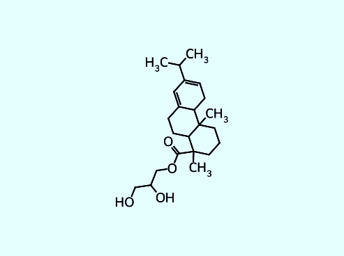 CC(C)C1=CCC2C(=C1)CCC1C(C)(C(=O)OCC(O)CO)CCCC21C